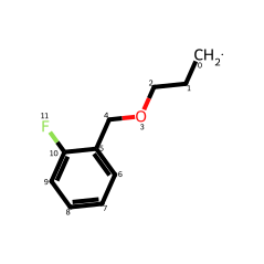 [CH2]CCOCc1ccccc1F